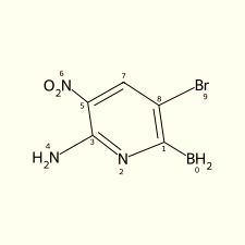 Bc1nc(N)c([N+](=O)[O-])cc1Br